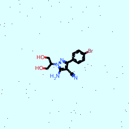 N#Cc1c(-c2ccc(Br)cc2)nn(C(CO)CO)c1N